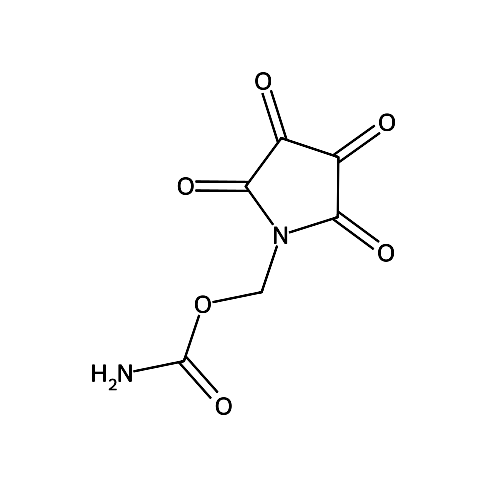 NC(=O)OCn1c(=O)c(=O)c(=O)c1=O